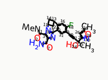 CNC(=O)c1c(C(N)=O)nc2n1C1CC(C1)c1cc(F)c(C#C[C@@](C)(O)c3cc(C)on3)cc1-2